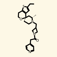 CCc1cc2c(s1)CCO[C@@]21CCN(CC2CN(C(=O)Cc3ccncc3)C2)[C@@H](C)C1